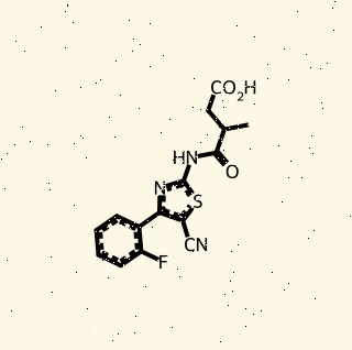 CC(CC(=O)O)C(=O)Nc1nc(-c2ccccc2F)c(C#N)s1